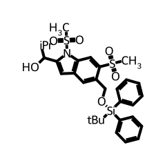 CC(C)C(O)c1cc2cc(CO[Si](c3ccccc3)(c3ccccc3)C(C)(C)C)c(S(C)(=O)=O)cc2n1S(C)(=O)=O